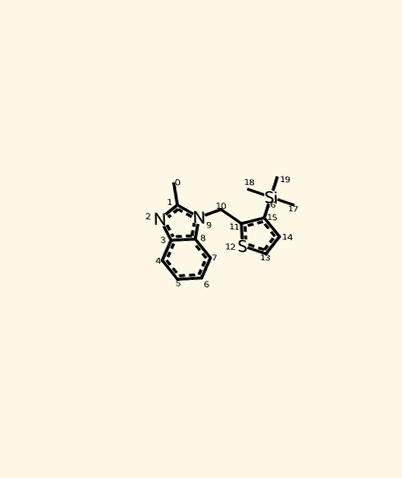 Cc1nc2ccccc2n1Cc1sccc1[Si](C)(C)C